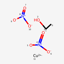 CCO.O=[N+]([O-])[O-].O=[N+]([O-])[O-].[Cu+2]